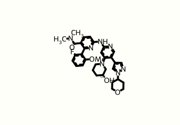 COc1cccc(F)c1-c1nc(Nc2cc(N3CCC[C@H](O)C3)c(-c3cnn(C4CCOCC4)c3)cn2)ccc1C(=O)N(C)C